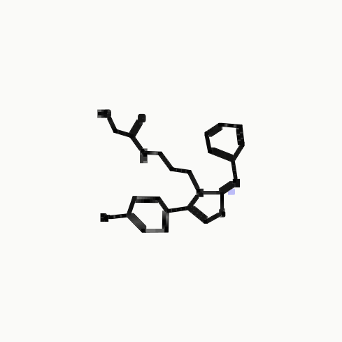 O=C(CO)NCCCn1c(-c2ccc(Br)cc2)cs/c1=N/c1ccccc1